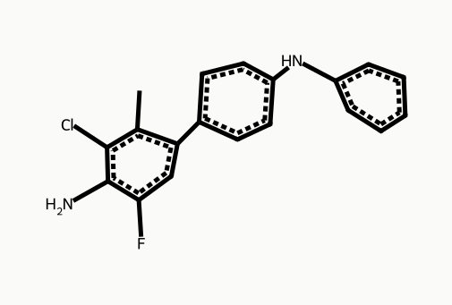 Cc1c(-c2ccc(Nc3ccccc3)cc2)cc(F)c(N)c1Cl